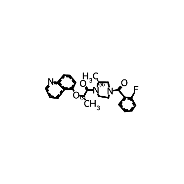 C[C@H](Oc1cccc2ncccc12)C(=O)N1CCN(C(=O)c2ccccc2F)C[C@H]1C